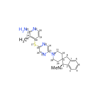 CN[C@@H]1c2ccccc2CC12CCN(c1cnc(Sc3ccnc(N)c3C)cn1)CC2